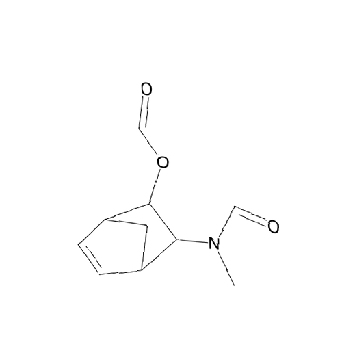 CN(C=O)C1C2C=CC(C2)C1OC=O